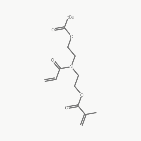 C=CC(=O)N(CCOC(=O)C(=C)C)CCOC(=O)C(C)(C)C